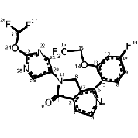 O=C1c2ccnc(-c3ccc(F)cc3OCC(F)(F)F)c2CN1c1cnc(OC(F)F)nc1